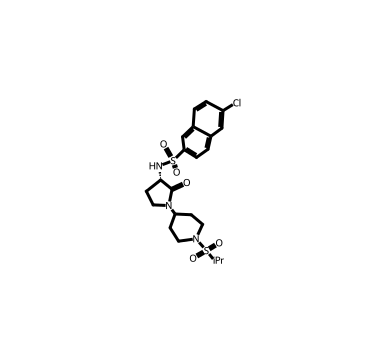 CC(C)S(=O)(=O)N1CCC(N2CC[C@H](NS(=O)(=O)c3ccc4cc(Cl)ccc4c3)C2=O)CC1